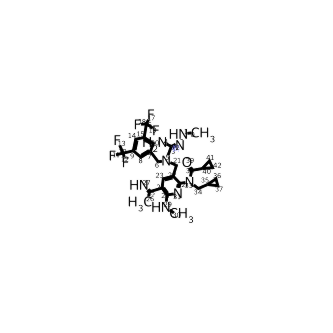 CN/N=C(\N)N(Cc1cc(C(F)(F)F)cc(C(F)(F)F)c1)Cc1cc(C(C)=N)c(NC)nc1N(CC1CC1)C(=O)C1CC1